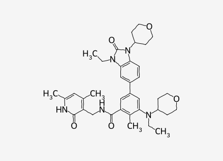 CCN(c1cc(-c2ccc3c(c2)n(CC)c(=O)n3C2CCOCC2)cc(C(=O)NCc2c(C)cc(C)[nH]c2=O)c1C)C1CCOCC1